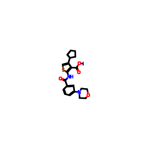 O=C(Nc1scc(C2CCCC2)c1C(=O)OI)c1cccc(N2CCOCC2)c1